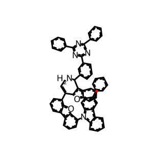 C/C=C(\c1oc2ccccc2c1C(N)c1cccc(-c2nc(-c3ccccc3)nc(-c3ccccc3)n2)c1)c1cccc2c1oc1c(-n3c4ccccc4c4cc(-c5ccccc5)ccc43)cccc12